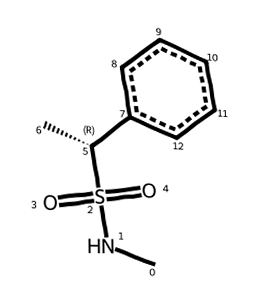 CNS(=O)(=O)[C@H](C)c1ccccc1